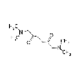 CN(C)CC(=O)CCC(=O)CN(C)C